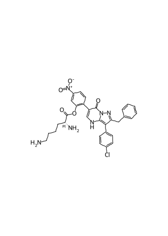 NCCCC[C@@H](N)C(=O)Oc1cc([N+](=O)[O-])ccc1-c1c[nH]c2c(-c3ccc(Cl)cc3)c(Cc3ccccc3)nn2c1=O